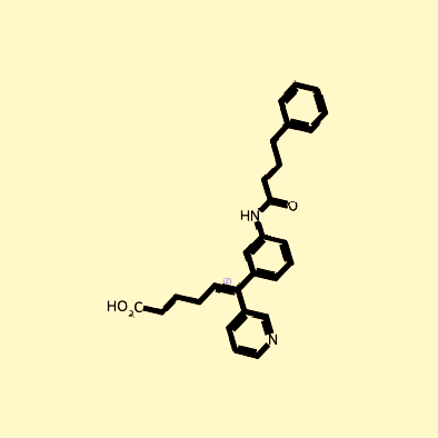 O=C(O)CCC/C=C(\c1cccnc1)c1cccc(NC(=O)CCCc2ccccc2)c1